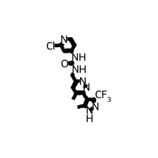 Cc1cc(CNC(=O)Nc2ccnc(Cl)c2)nnc1-c1c(C(F)(F)F)n[nH]c1C